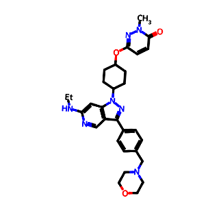 CCNc1cc2c(cn1)c(-c1ccc(CN3CCOCC3)cc1)nn2C1CCC(Oc2ccc(=O)n(C)n2)CC1